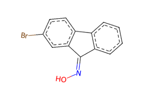 O/N=C1/c2ccccc2-c2ccc(Br)cc21